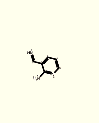 N=Cc1cccnc1N